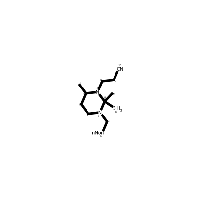 CCCCCCCCCCN1CCC(C)N(CCC#N)C1(C)[SiH3]